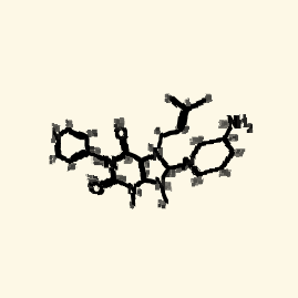 CC(C)=CCN1c2c(n(C)c(=O)n(-c3ccncc3)c2=O)N(C)C1N1CCCC(N)C1